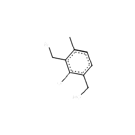 Cc1ccc(CO)c(Cl)c1CBr